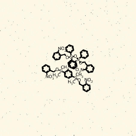 C[Si](C)(OCc1ccccc1[N+](=O)[O-])c1ccc([Si](C)(C)OCc2ccccc2[N+](=O)[O-])cc1.O=[N+]([O-])c1ccccc1CO[Si](O[Si](OCc1ccccc1[N+](=O)[O-])(c1ccccc1)c1ccccc1)(c1ccccc1)c1ccccc1